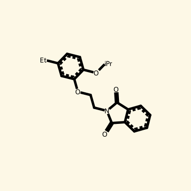 CCc1ccc(OC(C)C)c(OCCN2C(=O)c3ccccc3C2=O)c1